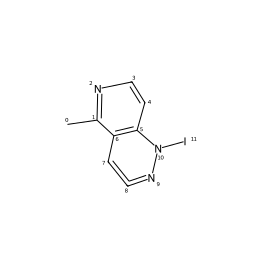 Cc1nccc2c1C=C=NN2I